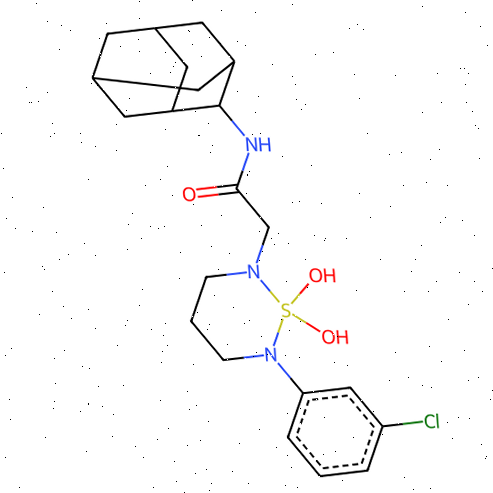 O=C(CN1CCCN(c2cccc(Cl)c2)S1(O)O)NC1C2CC3CC(C2)CC1C3